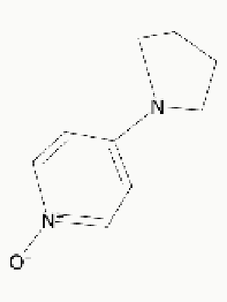 [O-][n+]1ccc(N2CCCC2)cc1